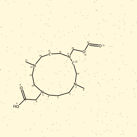 CN1CCCN(CC(=O)O)CCN(C)CCCN(COC=O)CC1